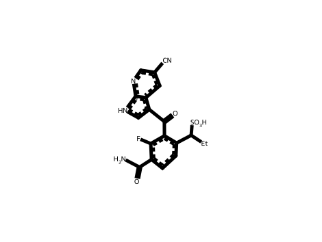 CCC(c1ccc(C(N)=O)c(F)c1C(=O)c1c[nH]c2ncc(C#N)cc12)S(=O)(=O)O